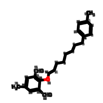 Cc1ccc(CCCCCCCCOc2c(C=O)cc(C)cc2C=O)cc1